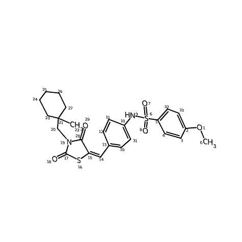 COc1ccc(S(=O)(=O)Nc2ccc(C=C3SC(=O)N(CC4(C)CCCCC4)C3=O)cc2)cc1